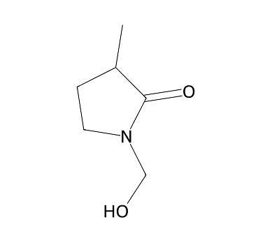 CC1CCN(CO)C1=O